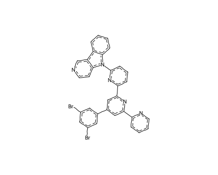 Brc1cc(Br)cc(-c2cc(-c3ccccn3)nc(-c3cccc(-n4c5ccccc5c5cnccc54)n3)c2)c1